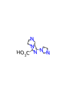 O=C(O)c1nc(-n2ccnc2)c2cnccn12